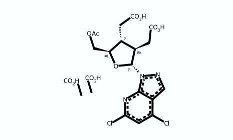 CC(=O)O.CC(=O)O.CC(=O)OC[C@@H]1O[C@@H](n2ncc3c(Cl)cc(Cl)nc32)[C@H](CC(=O)O)[C@H]1CC(=O)O